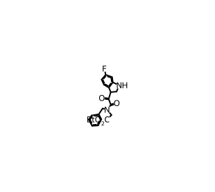 CCOC(=O)CN(Cc1ccccc1)C(=O)C(=O)C1CNc2cc(F)ccc21